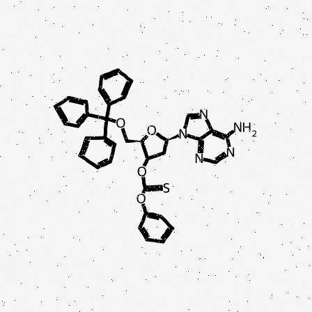 Nc1ncnc2c1ncn2[C@H]1CC(OC(=S)Oc2ccccc2)[C@@H](COC(c2ccccc2)(c2ccccc2)c2ccccc2)O1